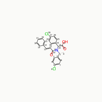 C[C@H](c1ccc(Cl)cc1)N(C(=O)/C=C/c1ccccc1)C(C(=O)O)c1ccc(Cl)cc1